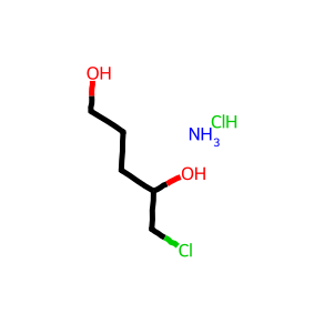 Cl.N.OCCCC(O)CCl